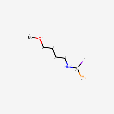 CCOCCCCNB(P)I